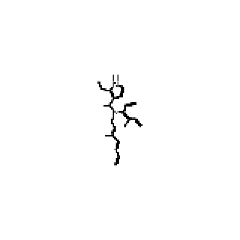 C=C/C=C/C(C)=C/CN(/C(C=C)=C(\C)C=C)C(C)c1cc[nH]c1CC